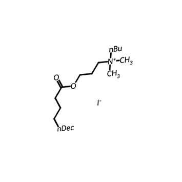 CCCCCCCCCCCCCC(=O)OCCC[N+](C)(C)CCCC.[I-]